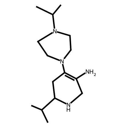 CC(C)C1CC(N2CCN(C(C)C)CC2)=C(N)CN1